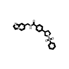 O=C(NCc1ccn2ccnc2c1)c1ccc(C2CCN(S(=O)(=O)c3ccccc3)C2)cc1